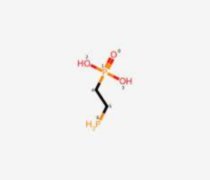 O=P(O)(O)CCP